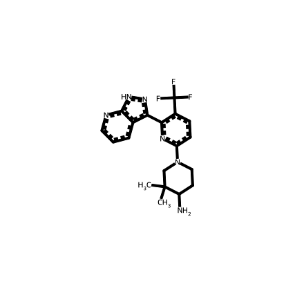 CC1(C)CN(c2ccc(C(F)(F)F)c(-c3n[nH]c4ncccc34)n2)CCC1N